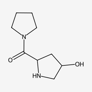 O=C(C1CC(O)CN1)N1CCCC1